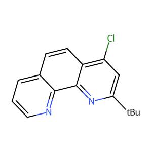 CC(C)(C)c1cc(Cl)c2ccc3cccnc3c2n1